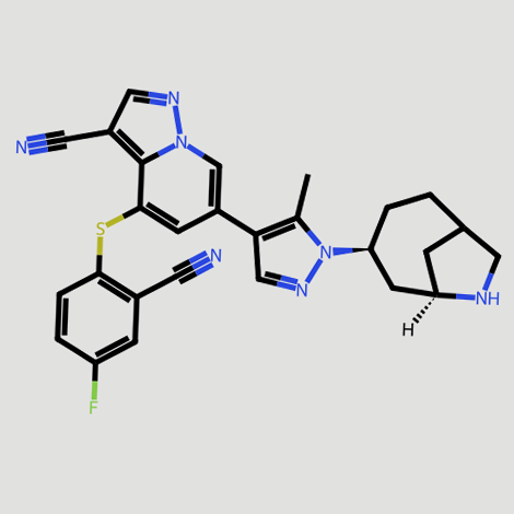 Cc1c(-c2cc(Sc3ccc(F)cc3C#N)c3c(C#N)cnn3c2)cnn1[C@H]1CCC2CN[C@H](C2)C1